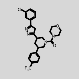 O=C(N1CCOCC1)N1CC(C2=NN=C(c3cccc(Cl)c3)C2)CC(c2ccc(C(F)(F)F)cc2)C1